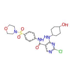 O=C(Nc1ccc(S(=O)(=O)N2CCOCC2)cc1)c1cnc(Cl)nc1NC1CCC(O)CC1